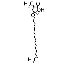 C=C(CC(=O)OCCCCCCCCCCCCCCCC)C(=O)O